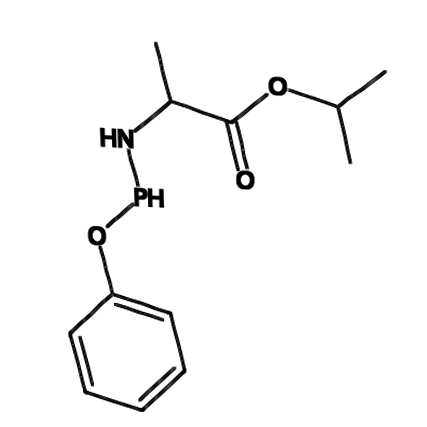 CC(C)OC(=O)C(C)NPOc1ccccc1